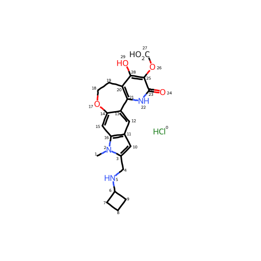 Cl.Cn1c(CNC2CCC2)cc2cc3c(cc21)OCCc1c-3[nH]c(=O)c(OC(=O)O)c1O